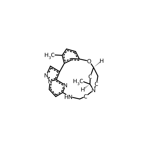 Cc1ccc2cc1-c1cnn3ccc(nc13)NCCN1CC[C@@H](C[C@@H]1C)O2